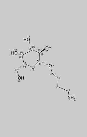 NCCCCO[C@@H]1O[C@H](CO)[C@H](O)[C@H](O)[C@H]1O